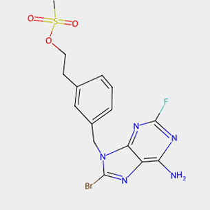 CS(=O)(=O)OCCc1cccc(Cn2c(Br)nc3c(N)nc(F)nc32)c1